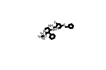 [2H]C([2H])([2H])Oc1ncc(N)c(NCc2ncc(SCc3ccccc3)cc2F)c1-c1ccccc1